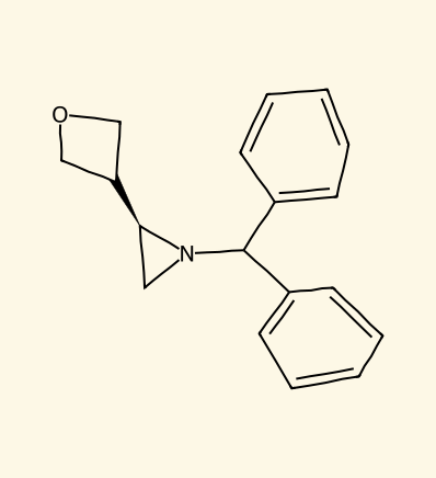 c1ccc(C(c2ccccc2)N2C[C@H]2C2COC2)cc1